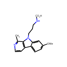 COc1ccc2c3ccnc(C)c3n(CCCNC(=O)O)c2c1